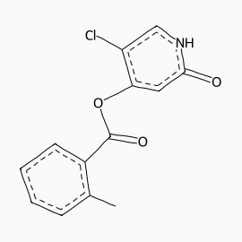 Cc1ccccc1C(=O)Oc1cc(=O)[nH]cc1Cl